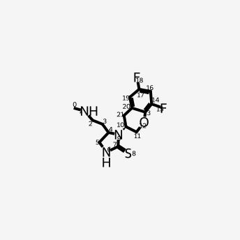 CNCCC1CNC(=S)N1[C@H]1COc2c(F)cc(F)cc2C1